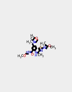 C=C(Nc1ccc(CN2CCOCC2(C)C)cc1C(=O)NCCOC)c1csc(N2C[C@H](OC)[C@H]2C)n1